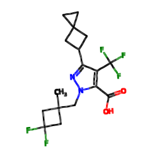 CC1(Cn2nc(C3CC4(CC4)C3)c(C(F)(F)F)c2C(=O)O)CC(F)(F)C1